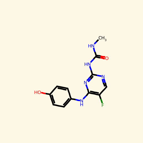 CNC(=O)Nc1ncc(F)c(Nc2ccc(O)cc2)n1